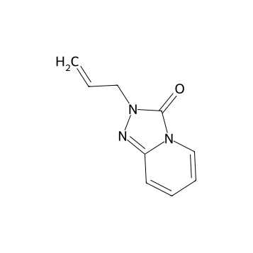 C=CCn1nc2ccccn2c1=O